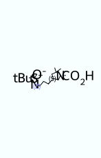 CC1(C)C[C@H](CC/C=N\[S+]([O-])C(C)(C)C)CN1C(=O)O